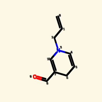 C=CCN1C=CCC(C=O)=C1